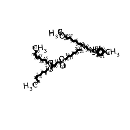 CC/C=C\CCCCOC(CCC(=O)OCCCCCCCN(CCCCCCCOC)CCNSc1ccc(C)cc1)OCCCC/C=C\CC